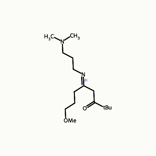 COCCC/C(CC(=O)C(C)(C)C)=N\CCCN(C)C